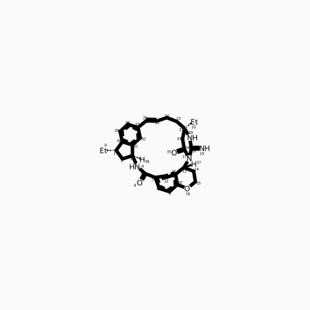 CC[C@H]1C[C@@H]2NC(=O)c3ccc4c(c3)[C@@H](CCO4)N3C(=N)N[C@](CC)(CC/C=C/c4ccc1c2c4)CC3=O